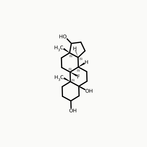 C[C@]12CCC(O)CC1(O)CC[C@H]1[C@@H]3CCC(O)[C@@]3(C)CC[C@]12F